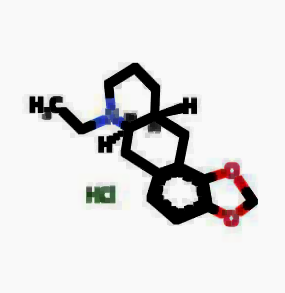 CCN1CCC[C@@H]2Cc3c(ccc4c3OCO4)C[C@H]21.Cl